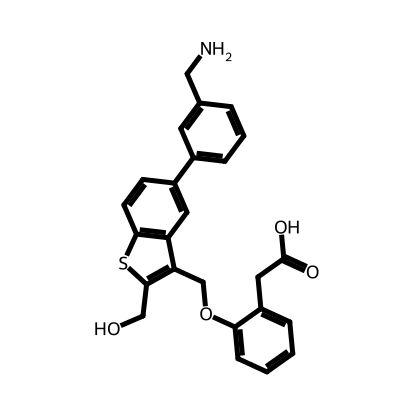 NCc1cccc(-c2ccc3sc(CO)c(COc4ccccc4CC(=O)O)c3c2)c1